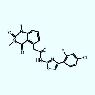 Cn1c(=O)c2c(CC(=O)Nc3nc(-c4ccc(Cl)cc4F)cs3)cccc2n(C)c1=O